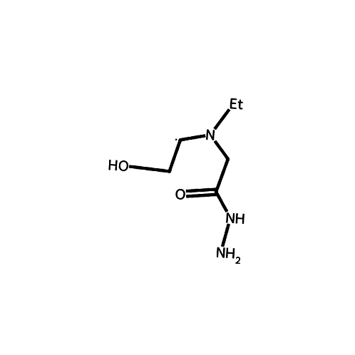 CCN([CH]CO)CC(=O)NN